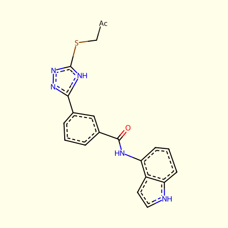 CC(=O)CSc1nnc(-c2cccc(C(=O)Nc3cccc4[nH]ccc34)c2)[nH]1